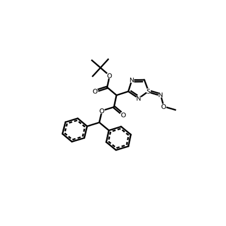 CON=S1C=NC(C(C(=O)OC(c2ccccc2)c2ccccc2)C(=O)OC(C)(C)C)=N1